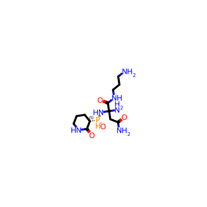 NCCCNC(=O)C(N)(CC(N)=O)N[PH](=O)[C@H]1CCCNC1=O